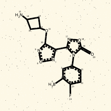 Bc1cc(-n2c(-c3nonc3OC3CC(N)C3)noc2=O)ccc1F